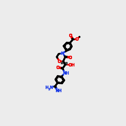 COC(=O)c1ccc(N2CCO[C@H]([C@@H](O)C(=O)Nc3ccc(C(=N)N)cc3)C2=O)cc1